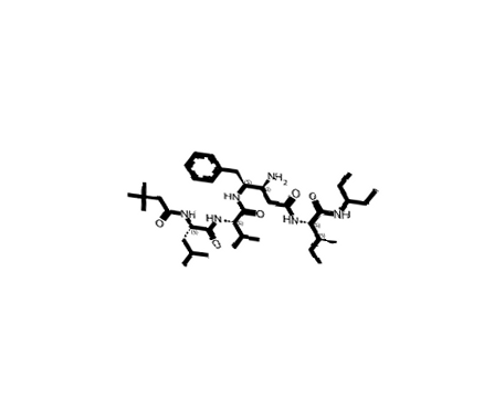 CCC(CC)NC(=O)[C@@H](NC(=O)C[C@H](N)[C@H](Cc1ccccc1)NC(=O)[C@@H](NC(=O)[C@H](CC(C)C)NC(=O)CC(C)(C)C)C(C)C)[C@@H](C)CC